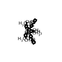 CC(C)(C)c1cc2c3c(c1)N(c1ccc(-c4cc5ccccc5o4)cc1)c1c(sc4ccc(C(C)(C)C)cc14)B3c1sc3ccc(C(C)(C)C)cc3c1N2c1ccc(-c2cc3ccccc3o2)cc1